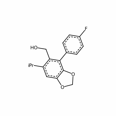 CC(C)c1cc2c(c(-c3ccc(F)cc3)c1CO)OCO2